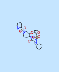 O=C1CN(S(=O)(=O)c2ccccn2)CCCC1NC(=O)C(CC1CCCCC1)NS(=O)(=O)c1ccco1